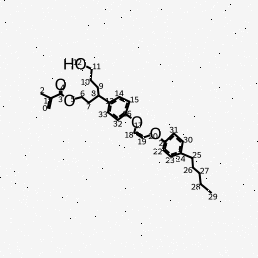 C=C(C)C(=O)OCCC(CCCO)c1ccc(O/C=C\Oc2ccc(CCCCC)cc2)cc1